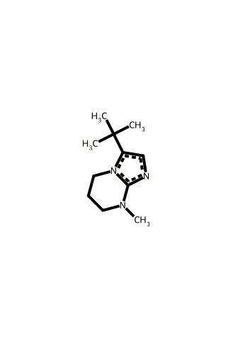 CN1CCCn2c(C(C)(C)C)cnc21